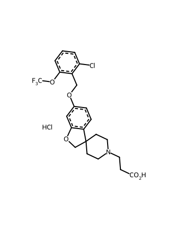 Cl.O=C(O)CCN1CCC2(CC1)COc1cc(OCc3c(Cl)cccc3OC(F)(F)F)ccc12